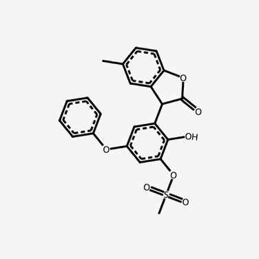 Cc1ccc2c(c1)C(c1cc(Oc3ccccc3)cc(OS(C)(=O)=O)c1O)C(=O)O2